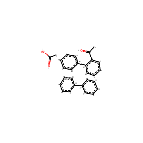 CC(=O)O.CC(=O)c1ccccc1-c1ccccc1.c1ccc(-c2ccccc2)cc1